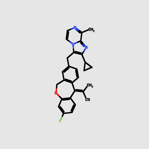 CC(C#N)=C1c2ccc(Cc3c(C4CC4)nc4c(C)nccn34)cc2COc2cc(F)ccc21